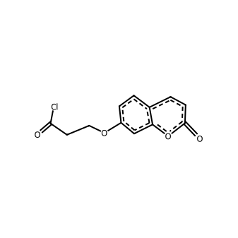 O=C(Cl)CCOc1ccc2ccc(=O)oc2c1